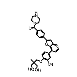 CC(CO)(CO)COc1ccc(-c2ccnc3cc(-c4ccc(C(=O)N5CCNCC5)cc4)oc23)cc1C#N